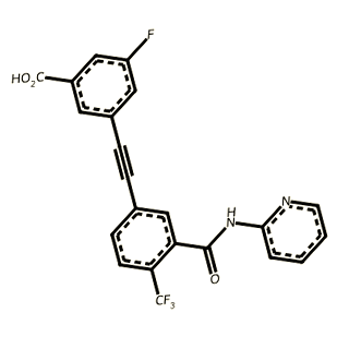 O=C(O)c1cc(F)cc(C#Cc2ccc(C(F)(F)F)c(C(=O)Nc3ccccn3)c2)c1